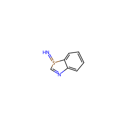 N=S1C=Nc2ccccc21